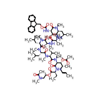 C/C=C/C[C@@H](C)[C@@H](OC(C)=O)[C@@H](C(=O)N[C@@H](CC)C(=O)OCCN(C)C(C)=O)N(C)C(=O)[C@H](C(C)C)N(C)C(=O)[C@H](CC(C)C)N(C)C(=O)[C@H](CC(C)C)N(C)C(=O)[C@@H](C)NC(=O)[C@H](C)NC(=O)[C@H](CC(C)C)N(C)C(=O)[C@@H](NC(=O)OCC1c2ccccc2-c2ccccc21)C(C)C